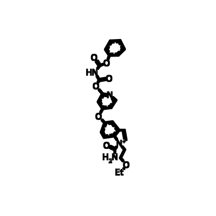 CCOCC[N+]1(C(N)=O)C=Cc2cc(Oc3ccnc(OC(=O)NC(=O)Oc4ccccc4)c3)ccc21